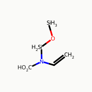 C=CN([SiH2]O[SiH3])C(=O)O